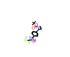 CC(C)(C)OC(=O)N1CCC1c1ccc(-c2noc(C(F)(F)F)n2)cc1